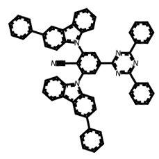 N#Cc1c(-n2c3ccccc3c3cc(-c4ccccc4)ccc32)cc(-c2nc(-c3ccccc3)nc(-c3ccccc3)n2)cc1-n1c2ccccc2c2cc(-c3ccccc3)ccc21